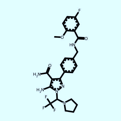 COc1ccc(F)cc1C(=O)NCc1ccc(-c2nn(C(N3CCCC3)C(F)(F)F)c(N)c2C(N)=O)cc1